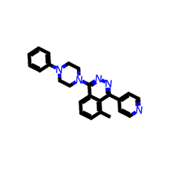 Cc1cccc2c(N3CCN(c4ccccc4)CC3)nnc(-c3ccncc3)c12